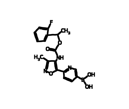 Cc1noc(-c2ccc(B(O)O)cn2)c1NC(=O)OC(C)c1ccccc1F